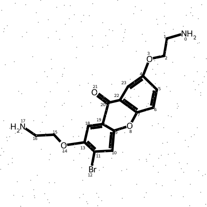 NCCOc1ccc2oc3cc(Br)c(OCCN)cc3c(=O)c2c1